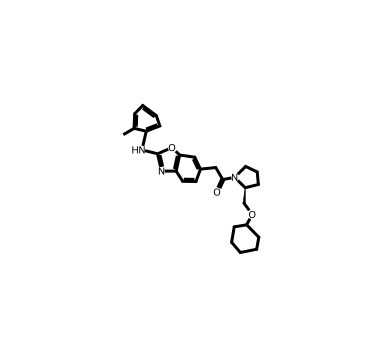 Cc1ccccc1Nc1nc2ccc(CC(=O)N3CCC[C@H]3COC3CCCCC3)cc2o1